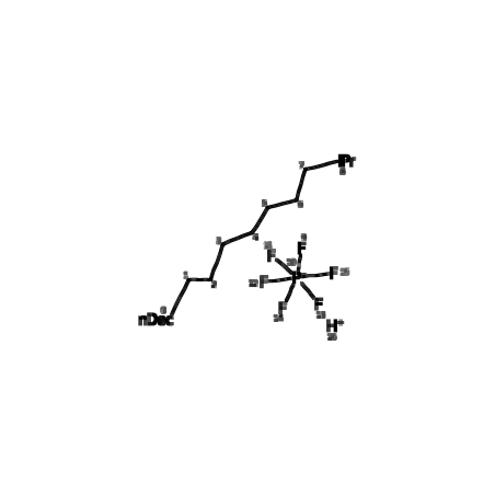 CCCCCCCCCCCCCCCCCC(C)C.F[P-](F)(F)(F)(F)F.[H+]